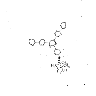 CC(C)(O)C(C)(C)OBc1ccc(-c2nc(-c3ccc(-c4ccccc4)cc3)cc(-c3ccc(-c4ccccc4)cc3)n2)cc1